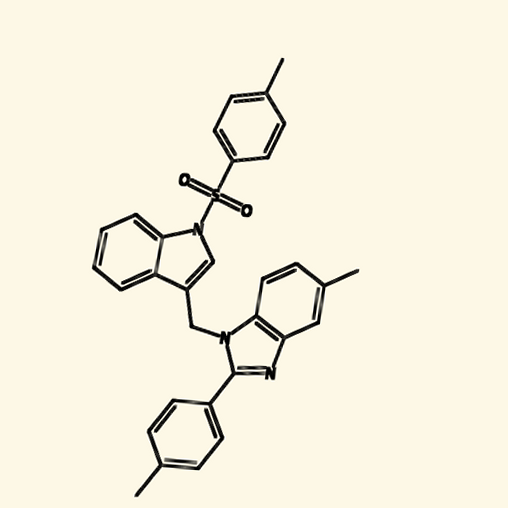 Cc1ccc(-c2nc3cc(C)ccc3n2Cc2cn(S(=O)(=O)c3ccc(C)cc3)c3ccccc23)cc1